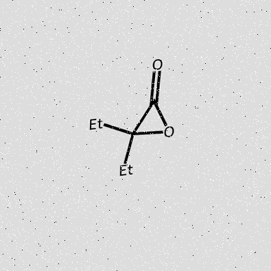 CCC1(CC)OC1=O